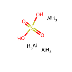 O=S(=O)(O)O.[AlH3].[AlH3].[AlH3]